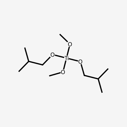 C[O][Ti]([O]C)([O]CC(C)C)[O]CC(C)C